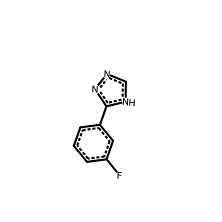 Fc1cccc(-c2nnc[nH]2)c1